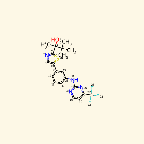 CC(C)(C)C(C)(O)c1ncc(-c2cccc(Nc3nccc(C(F)(F)F)n3)c2)s1